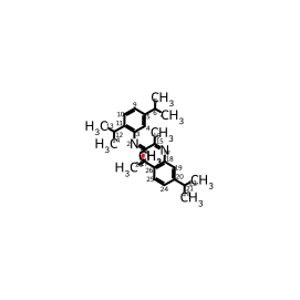 CC(=Nc1cc(C(C)C)ccc1C(C)C)C(C)=Nc1cc(C(C)C)ccc1C(C)C